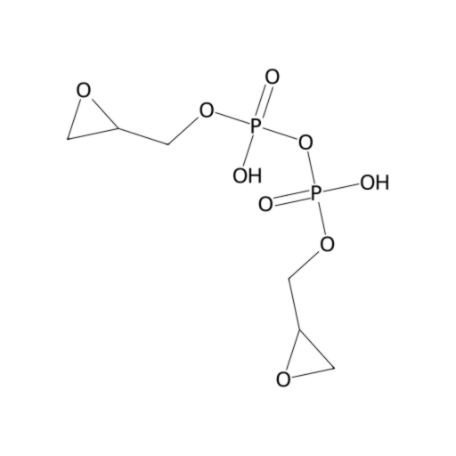 O=P(O)(OCC1CO1)OP(=O)(O)OCC1CO1